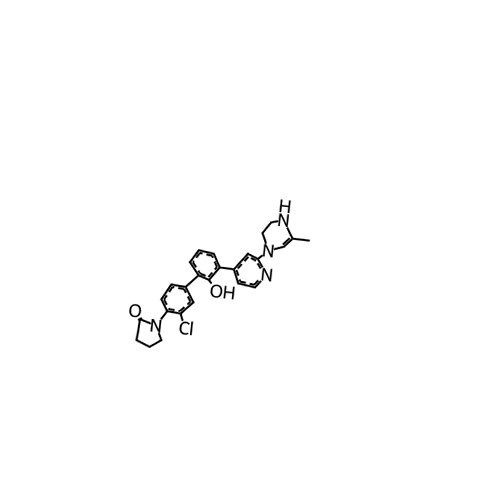 CC1=CN(c2cc(-c3cccc(-c4ccc(N5CCCC5=O)c(Cl)c4)c3O)ccn2)CCN1